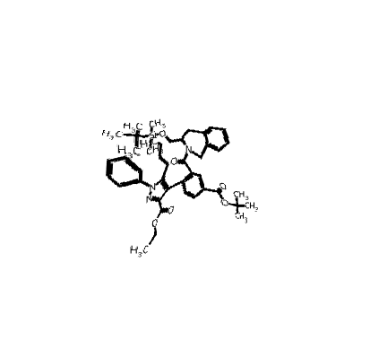 CCCCc1c(-c2ccc(C(=O)OC(C)(C)C)cc2C(=O)N2Cc3ccccc3CC2CO[Si](C)(C)C(C)(C)C)c(C(=O)OCC)nn1-c1ccccc1